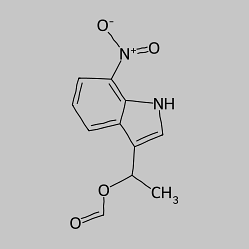 CC(OC=O)c1c[nH]c2c([N+](=O)[O-])cccc12